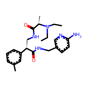 CCN(CC)[C@@H](C)C(=O)NC[C@H](C(=O)NCc1ccc(N)nc1)c1cccc(C)c1